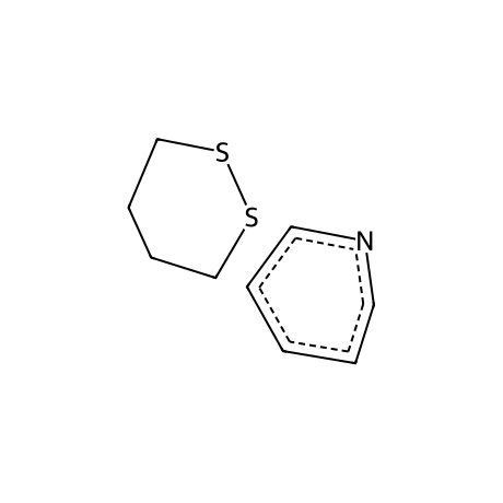 C1CCSSC1.c1ccncc1